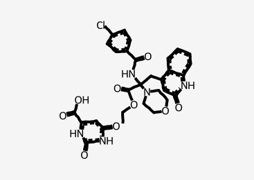 CCOC(=O)C(Cc1cc(=O)[nH]c2ccccc12)(NC(=O)c1ccc(Cl)cc1)N1CCOCC1.O=C(O)c1cc(=O)[nH]c(=O)[nH]1